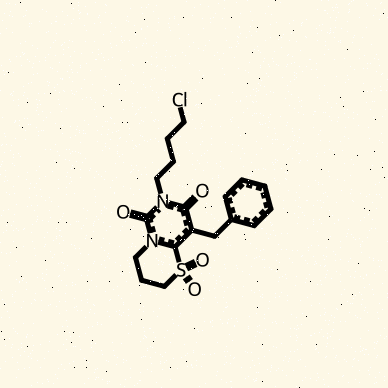 O=c1c(Cc2ccccc2)c2n(c(=O)n1CCCCCl)CCCS2(=O)=O